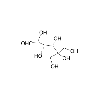 O=C[C@H](O)[C@@H](O)[C@H](O)C(O)(CO)CO